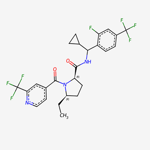 CC[C@@H]1CC[C@H](C(=O)NC(c2ccc(C(F)(F)F)cc2F)C2CC2)N1C(=O)c1ccnc(C(F)(F)F)c1